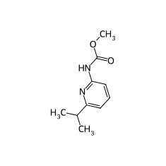 COC(=O)Nc1cccc(C(C)C)n1